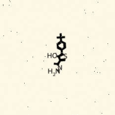 CC(=NN)c1csc(-c2ccc(C(C)(C)C)cc2)c1O